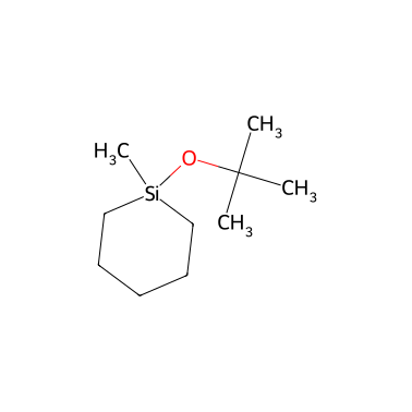 CC(C)(C)O[Si]1(C)CCCCC1